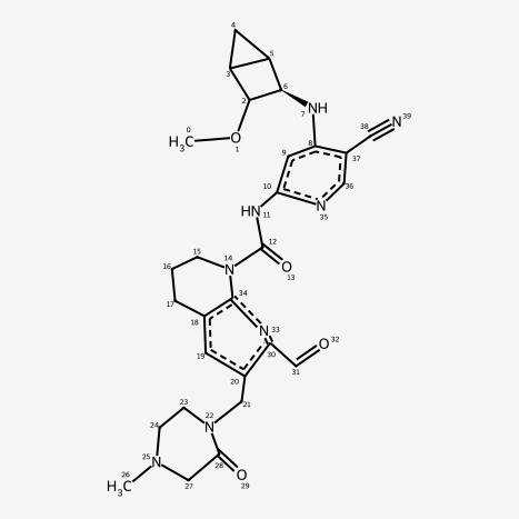 COC1C2CC2[C@H]1Nc1cc(NC(=O)N2CCCc3cc(CN4CCN(C)CC4=O)c(C=O)nc32)ncc1C#N